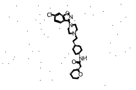 O=C(C[C@@H]1CCCCO1)N[C@H]1CC[C@H](CCN2CCN(c3noc4cc(Cl)ccc34)CC2)CC1